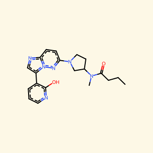 CCCC(=O)N(C)C1CCN(c2ccc3ncc(-c4cccnc4O)n3n2)C1